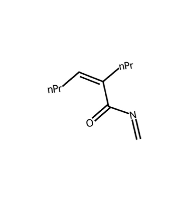 C=NC(=O)C(=CCCC)CCC